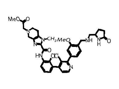 COC(=O)CN1CCc2c(nc(C(=O)Nc3cccc(-c4ccnc(-c5ccc(CNCC6CCC(=O)N6)c(OC)c5)c4Cl)c3Cl)n2C)C1